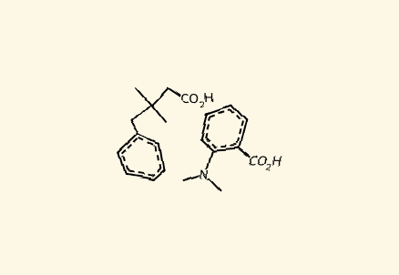 CC(C)(CC(=O)O)Cc1ccccc1.CN(C)c1ccccc1C(=O)O